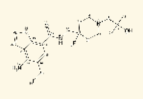 CC(C)(O)CN1CCC(F)(CNC(=O)c2cc(CI)c(N)c3ccoc23)CC1